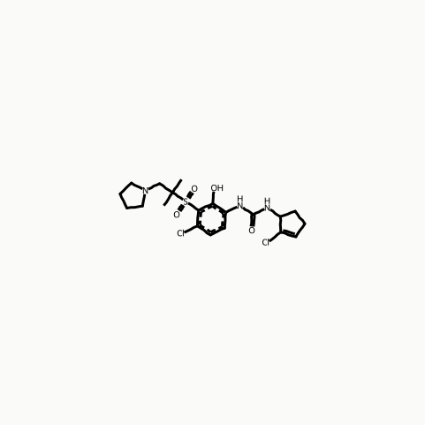 CC(C)(CN1CCCC1)S(=O)(=O)c1c(Cl)ccc(NC(=O)NC2CCC=C2Cl)c1O